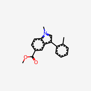 COC(=O)c1ccc2c(c1)c(-c1ccccc1C)cn2C